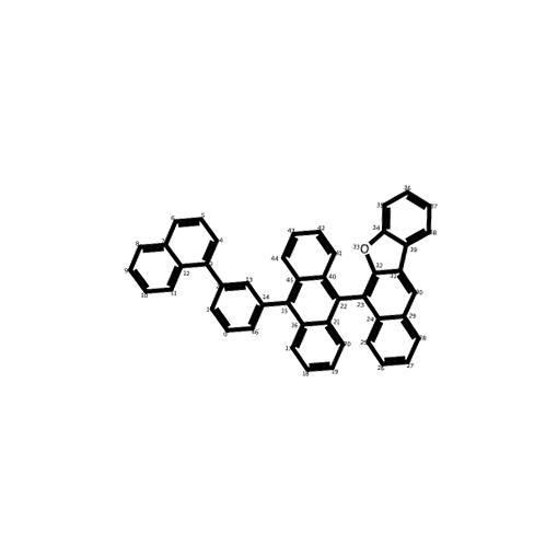 c1cc(-c2cccc3ccccc23)cc(-c2c3ccccc3c(-c3c4ccccc4cc4c3oc3ccccc34)c3ccccc23)c1